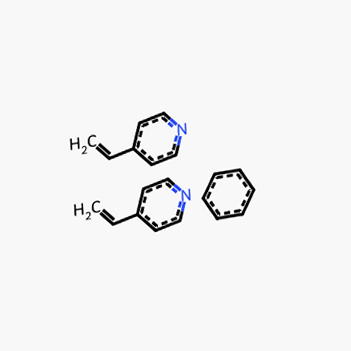 C=Cc1ccncc1.C=Cc1ccncc1.c1ccccc1